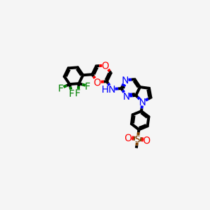 CS(=O)(=O)c1ccc(-n2ccc3cnc(NC4=COC=C(C5=CC=CC(F)(F)C5(F)F)O4)nc32)cc1